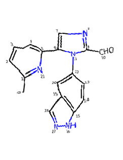 Cc1cccc(-c2cnc(C=O)n2-c2ccc3[nH]ncc3c2)n1